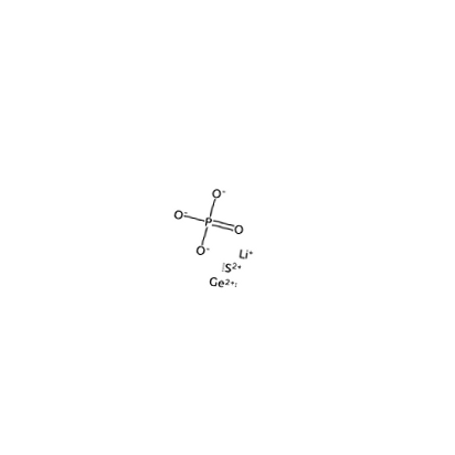 O=P([O-])([O-])[O-].[Ge+2].[Li+].[S+2]